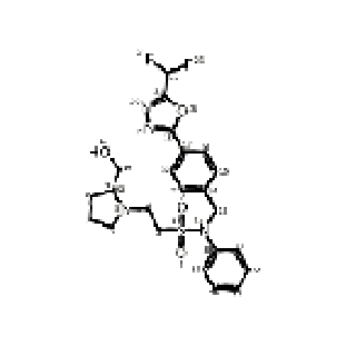 O=S(=O)(CCN1CCC[C@H]1CO)N(Cc1ccc(-c2nnc(C(F)F)o2)cc1)c1ccccc1